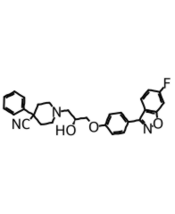 N#CC1(c2ccccc2)CCN(C[C@H](O)COc2ccc(-c3noc4cc(F)ccc34)cc2)CC1